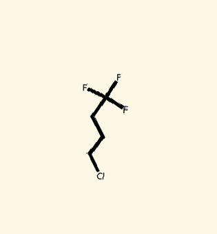 FC(F)(F)CC[CH]Cl